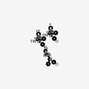 CCN=C(N)C1=NN(c2ccc(Cl)cc2)C(c2ccccc2)C1S(=O)(=O)N1CCC(F)(F)CC1.CCN=C(N)C1=NN(c2ccc(Cl)cc2)C(c2ccccc2)C1S(=O)(=O)N1CCC(F)CC1.CN=C(NS(=O)(=O)N1CCC(F)(F)C1)C1=NN(c2ccc(Cl)cc2)C(c2ccccc2)C1